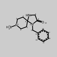 BN1CCC2(CC1)NCC(=O)N2Cc1ccccc1